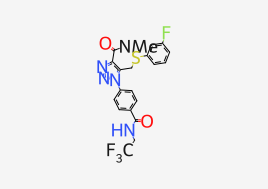 CNC(=O)c1nnn(-c2ccc(C(=O)NCC(F)(F)F)cc2)c1CSc1cccc(F)c1